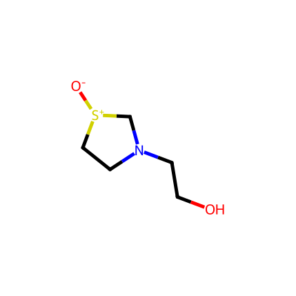 [O-][S+]1CCN(CCO)C1